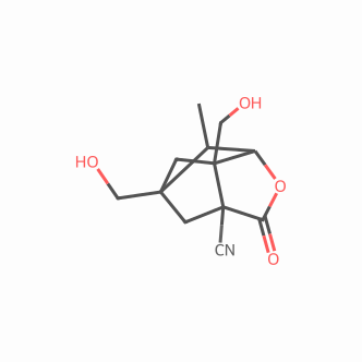 CC1C2OC(=O)C3(C#N)CC1(CO)CC23CO